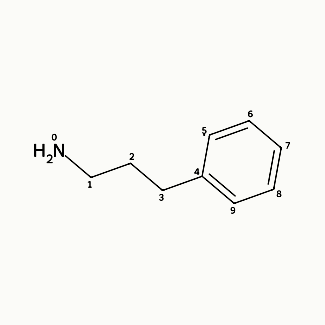 NCCCc1[c]cccc1